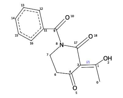 C/C(O)=C1\C(=O)CCN(C(=O)c2ccccc2)C1=O